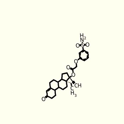 C#C[C@]1(OC(=O)COc2cccc(S(N)(=O)=O)c2)CCC2C3CCC4=CC(=O)CCC4C3CC[C@@]21CC